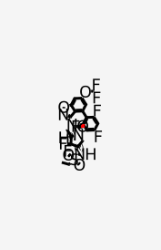 CCS(=O)(=O)N[C@@H]1CN2C(=O)N(c3noc4cc(OC(F)F)cc(-c5c(F)cc(F)cc5F)c34)C[C@@H]2C1(F)F